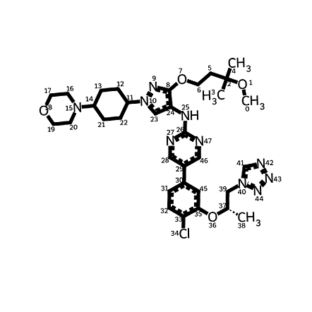 COC(C)(C)CCOc1nn(C2CCC(N3CCOCC3)CC2)cc1Nc1ncc(-c2ccc(Cl)c(O[C@@H](C)Cn3cnnn3)c2)cn1